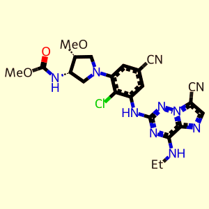 CCNc1nc(Nc2cc(C#N)cc(N3C[C@H](NC(=O)OC)[C@H](OC)C3)c2Cl)nn2c(C#N)cnc12